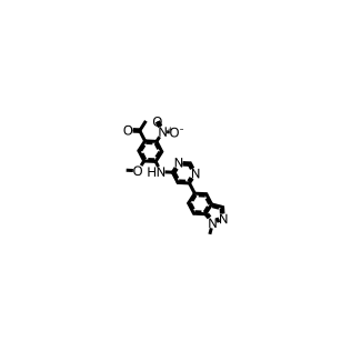 COc1cc(C(C)=O)c([N+](=O)[O-])cc1Nc1cc(-c2ccc3c(cnn3C)c2)ncn1